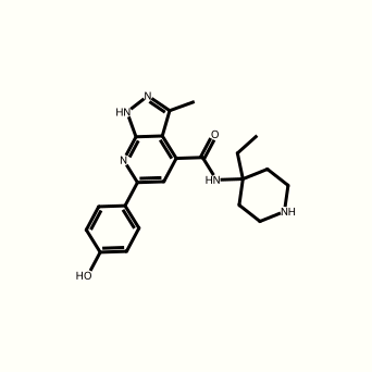 CCC1(NC(=O)c2cc(-c3ccc(O)cc3)nc3[nH]nc(C)c23)CCNCC1